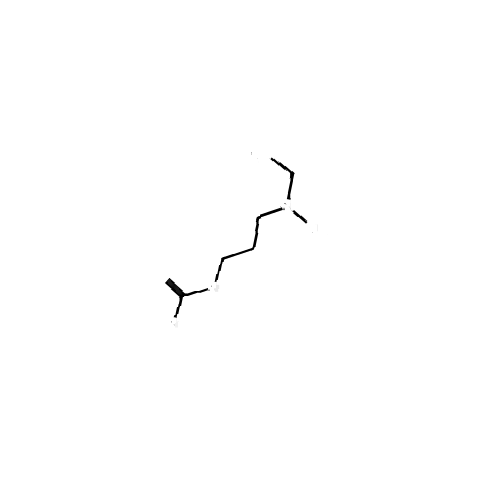 CCN(C)CCCNC(N)=O